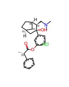 C[C@H](C(=O)Oc1cccc([C@]2(O)C[C@H]3CC[C@H](C3)[C@H]2CN(C)C)c1)c1ccccc1.Cl